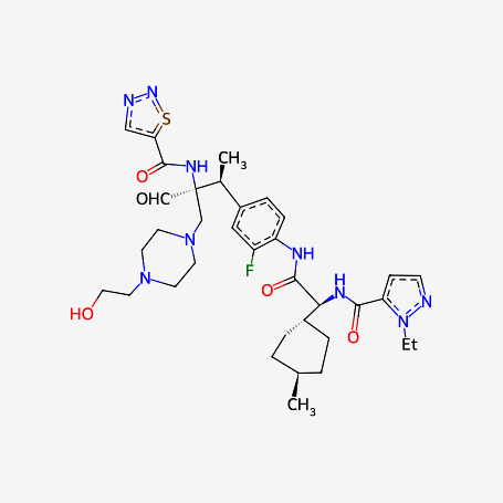 CCn1nccc1C(=O)N[C@H](C(=O)Nc1ccc([C@H](C)[C@@](C=O)(CN2CCN(CCO)CC2)NC(=O)c2cnns2)cc1F)[C@H]1CC[C@H](C)CC1